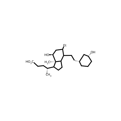 CCC1C[C@H](O)[C@@]2(C)C(CCC2[C@H](C)CCC(=O)O)C1CC[C@H]1CCC[C@@H](O)C1